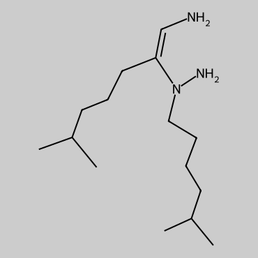 CC(C)CCCCN(N)/C(=C\N)CCCC(C)C